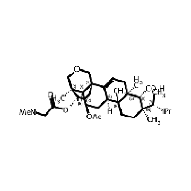 CNCC(=O)O[C@H]1[C@H](OC(C)=O)C[C@]23COC[C@@]1(C)[C@@H]2CC[C@H]1C3=CC[C@@]2(C)[C@H](C(=O)O)[C@@](C)([C@H](C)C(C)C)CC[C@]12C